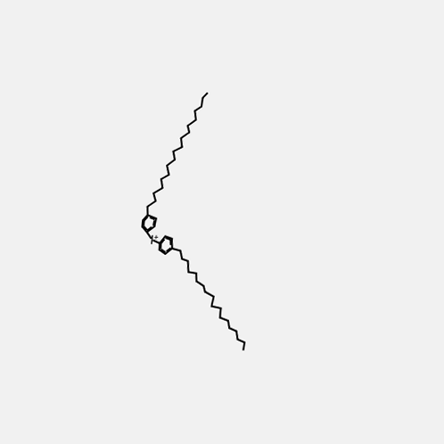 CCCCCCCCCCCCCCCCCCc1ccc([I+]c2ccc(CCCCCCCCCCCCCCCCCC)cc2)cc1